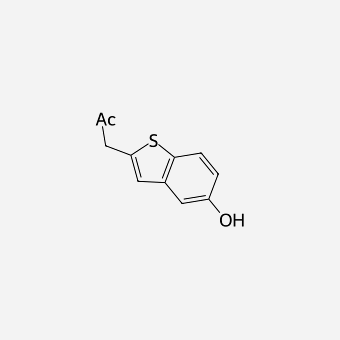 CC(=O)Cc1cc2cc(O)ccc2s1